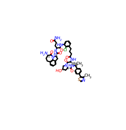 Cc1ncsc1-c1ccc([C@H](C)NC(=O)[C@@H]2C[C@@H](O)CN2C(=O)[C@@H](NC(=O)CCCc2cccc(NC(=O)C(CCC(N)=O)NC(=O)[C@@H]3Cc4cccc5c4N3C(=O)[C@@H](N)CC5)c2Cl)C(C)(C)C)cc1